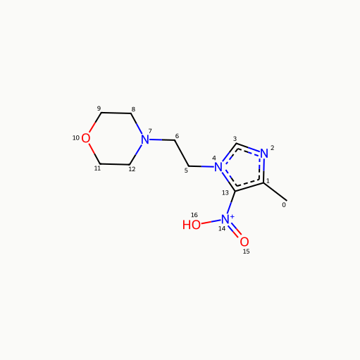 Cc1ncn(CCN2CCOCC2)c1[N+](=O)O